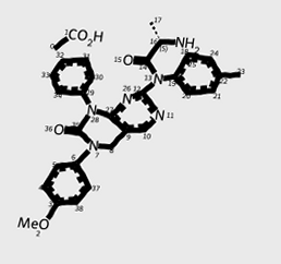 CC(=O)O.COc1ccc(N2Cc3cnc(N(C(=O)[C@H](C)N)c4ccc(C)cc4)nc3N(c3ccccc3)C2=O)cc1